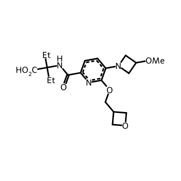 CCC(CC)(NC(=O)c1ccc(N2CC(OC)C2)c(OCC2COC2)n1)C(=O)O